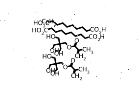 C=C(C)C(=O)OCC(CO)(CO)CO.C=C(C)C(=O)OCC(CO)(CO)CO.O=C(O)CCCCCCCCC(=O)O.O=C(O)CCCCCCCCC(=O)O.[CaH2]